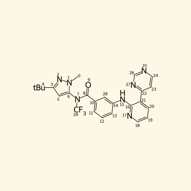 Cn1nc(C(C)(C)C)cc1N(C(=O)c1cccc(Nc2ncccc2-c2ccncn2)c1)C(F)(F)F